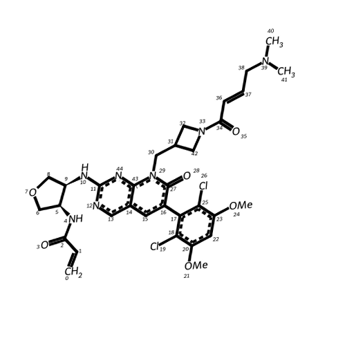 C=CC(=O)N[C@H]1COC[C@H]1Nc1ncc2cc(-c3c(Cl)c(OC)cc(OC)c3Cl)c(=O)n(CC3CN(C(=O)/C=C/CN(C)C)C3)c2n1